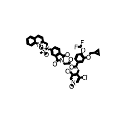 CS(=O)(=O)N(Cc1ccc2ccccc2n1)c1ccc2c(c1)C(=O)N(CC(=O)O[C@@H](Cc1c(Cl)c[n+]([O-])cc1Cl)c1ccc(OC(F)F)c(OCC3CC3)c1)C2=O